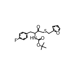 CC(C)(C)OC(=O)NC(Cc1ccc(F)cc1)C(=O)CSCc1ccco1